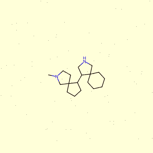 CN1CCC2(CCCC2C2CNCC23CCCCC3)C1